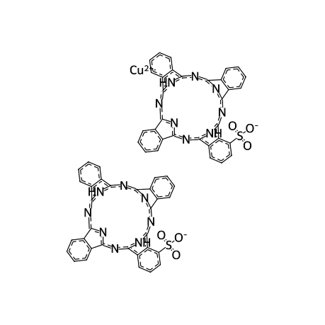 O=S(=O)([O-])c1cccc2c3nc4nc(nc5[nH]c(nc6nc(nc([nH]3)c12)-c1ccccc1-6)c1ccccc51)-c1ccccc1-4.O=S(=O)([O-])c1cccc2c3nc4nc(nc5[nH]c(nc6nc(nc([nH]3)c12)-c1ccccc1-6)c1ccccc51)-c1ccccc1-4.[Cu+2]